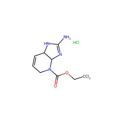 Cl.NC1=NC2C(C=CCN2C(=O)OCC(Cl)(Cl)Cl)N1